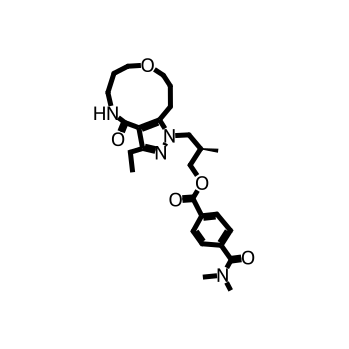 CCc1nn(C[C@@H](C)COC(=O)c2ccc(C(=O)N(C)C)cc2)c2c1C(=O)NCCCOCCC2